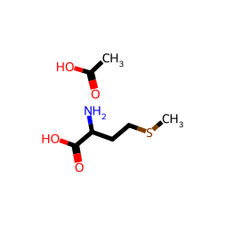 CC(=O)O.CSCCC(N)C(=O)O